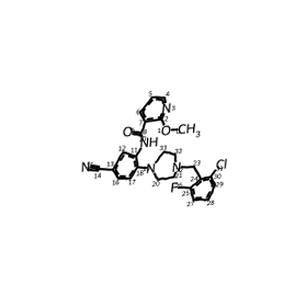 COc1ncccc1C(=O)Nc1cc(C#N)ccc1N1CCN(Cc2c(F)cccc2Cl)CC1